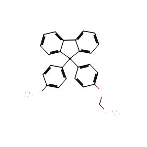 COCOc1ccc(C2(c3ccc(OC)cc3)c3ccccc3-c3ccccc32)cc1